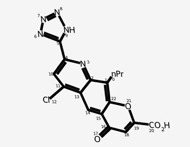 CCCc1c2nc(-c3nnn[nH]3)cc(Cl)c2cc2c(=O)cc(C(=O)O)oc12